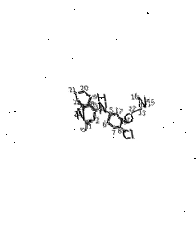 Cc1cc(Nc2ccc(Cl)c(OCCN(C)C)c2)c2ccccc2n1